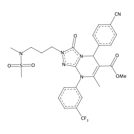 COC(=O)C1=C(C)N(c2cccc(C(F)(F)F)c2)c2nn(CCCN(C)S(C)(=O)=O)c(=O)n2C1c1ccc(C#N)cc1